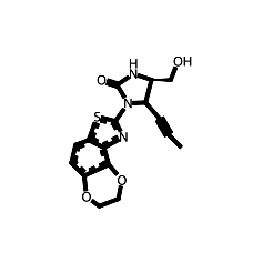 CC#CC1[C@H](CO)NC(=O)N1c1nc2c3c(ccc2s1)OCCO3